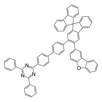 c1ccc(-c2nc(-c3ccccc3)nc(-c3ccc(-c4ccc(-c5cc6c(cc5-c5ccc7oc8ccccc8c7c5)-c5ccccc5C65c6ccccc6-c6ccccc65)cc4)cc3)n2)cc1